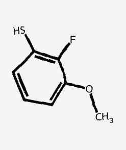 COc1cccc(S)c1F